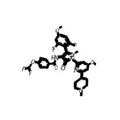 COc1cc(C2CCN(C)CC2)nc(-n2c(=O)c(NC(=O)c3ccc(OC(F)F)cc3)c(-c3c(F)cc(OC)cc3F)n2C)c1